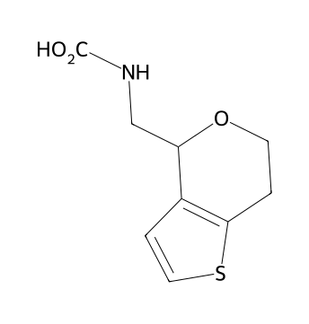 O=C(O)NCC1OCCc2sccc21